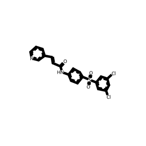 O=C(C=Cc1cccnc1)Nc1ccc(S(=O)(=O)c2cc(Cl)cc(Cl)c2)cc1